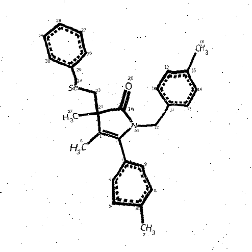 CC1=C(c2ccc(C)cc2)N(Cc2ccc(C)cc2)C(=O)C1(C)C[Se]c1ccccc1